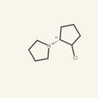 ClC1CCC[C@H]1N1CCCC1